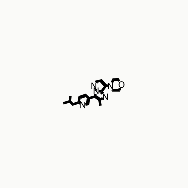 Cc1nc2c(N3CCOCC3)ccnn2c1-c1ccc(CC(C)C)nc1